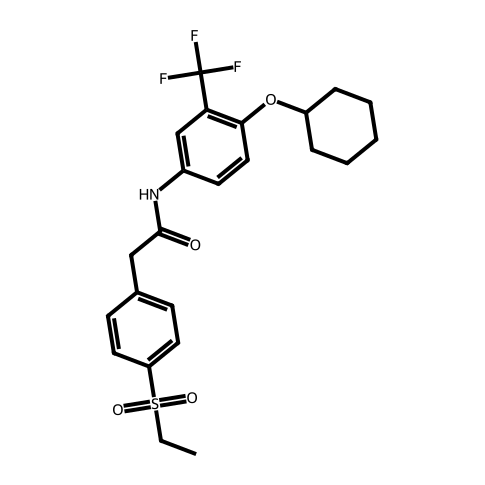 CCS(=O)(=O)c1ccc(CC(=O)Nc2ccc(OC3CCCCC3)c(C(F)(F)F)c2)cc1